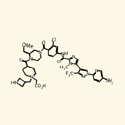 COCC1CN(C(=O)c2ccc(NC(=O)c3ncc(-c4cn(-c5ccc(N)cn5)nc4C(F)(F)F)n3C)cc2Cl)CCN1C(=O)C1CC[N+](CC(=O)O)(CC2CNC2)CC1